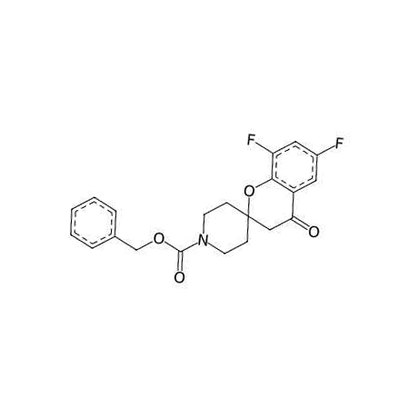 O=C1CC2(CCN(C(=O)OCc3ccccc3)CC2)Oc2c(F)cc(F)cc21